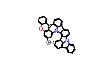 CC(C)(C)c1cc2c3c(c1)-n1c4c(cccc4c4ccc5c(c6cccc7c8ccccc8n5c76)c41)B3c1ccccc1O2